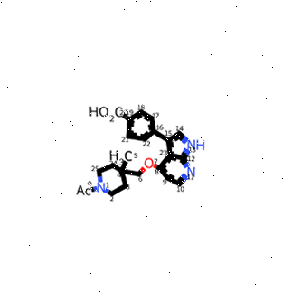 CC(=O)N1CCC(C)(COc2ccnc3[nH]cc(-c4ccc(C(=O)O)cc4)c23)CC1